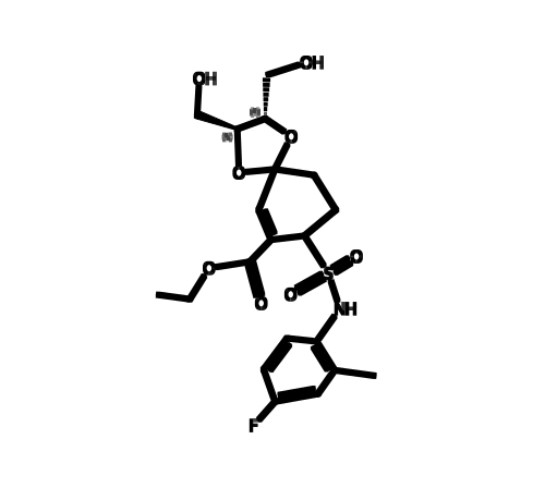 CCOC(=O)C1=CC2(CCC1S(=O)(=O)Nc1ccc(F)cc1C)O[C@@H](CO)[C@H](CO)O2